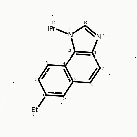 CCc1ccc2c(ccc3ncn(C(C)C)c32)c1